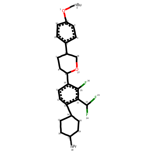 CCCCOc1ccc(C2CCC(c3ccc(C4CCC(CCC)CC4)c(C(F)F)c3F)OC2)cc1